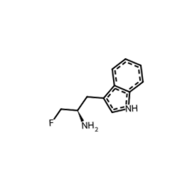 N[C@@H](CF)Cc1c[nH]c2ccccc12